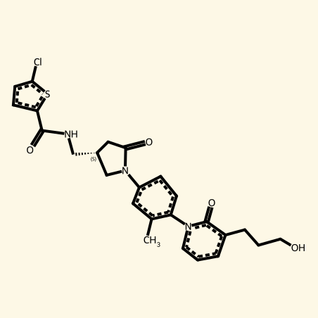 Cc1cc(N2C[C@H](CNC(=O)c3ccc(Cl)s3)CC2=O)ccc1-n1cccc(CCCO)c1=O